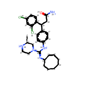 C[C@H]1CN(/C(=N/C2CCCCCCC2)Nc2ccc(C(CC(N)=O)c3ccc(Cl)cc3Cl)cc2)CCN1